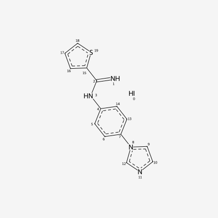 I.N=C(Nc1ccc(-n2ccnc2)cc1)c1cccs1